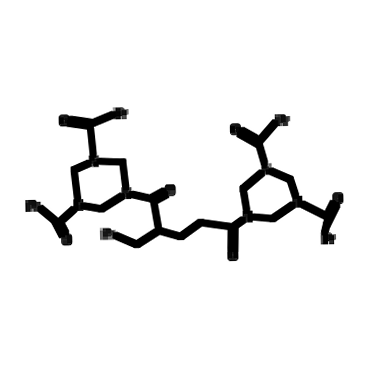 CC(C)CC(CCC(=O)N1CN(C(=O)C(C)C)CN(C(=O)C(C)C)C1)C(=O)N1CN(C(=O)C(C)C)CN(C(=O)C(C)C)C1